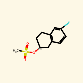 CS(=O)(=O)O[C@H]1CCc2cc(F)ccc2C1